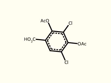 CC(=O)Oc1c(Cl)cc(C(=O)O)c(OC(C)=O)c1Cl